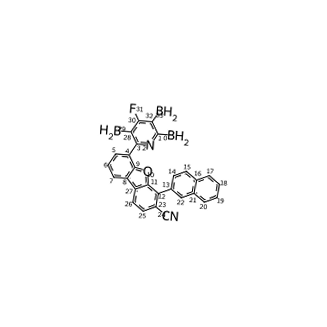 Bc1nc(-c2cccc3c2oc2c(-c4ccc5ccccc5c4)c(C#N)ccc23)c(B)c(F)c1B